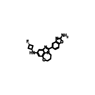 Nc1nc2cc(-c3nc4cc(N[C@H]5C[C@@H](F)C5)cc5c4n3CCCO5)ccc2o1